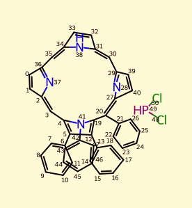 C1=Cc2cc3c(-c4ccccc4)c(-c4ccccc4)c(c(-c4ccccc4)c4nc(cc5ccc(cc1n2)[nH]5)C=C4)n3-c1ccccc1.ClPCl